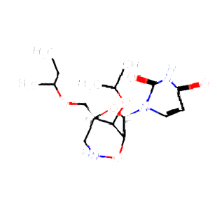 CCC(C)OC[C@]12CNOC(C1OC(C)C)[C@H](n1ccc(=O)[nH]c1=O)O2